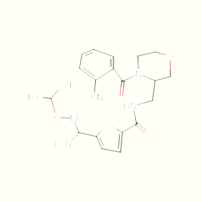 CC(ONC(N)c1ccc(C(=O)NCC2COCCN2C(=O)c2ccccc2C#N)s1)C(F)(F)F